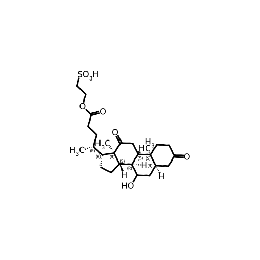 C[C@H](CCC(=O)OCCS(=O)(=O)O)[C@H]1CC[C@H]2[C@@H]3C(O)C[C@@H]4CC(=O)CC[C@]4(C)[C@H]3CC(=O)[C@]12C